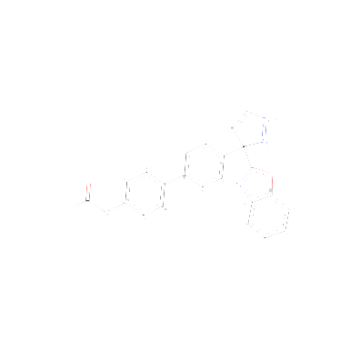 CC(=O)Nc1ccc(-c2ccc(C3(c4nc5ccccc5o4)C=CN=N3)cc2)cc1